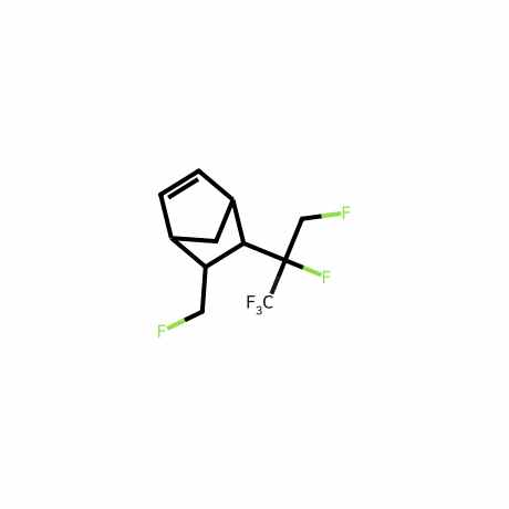 FCC1C2C=CC(C2)C1C(F)(CF)C(F)(F)F